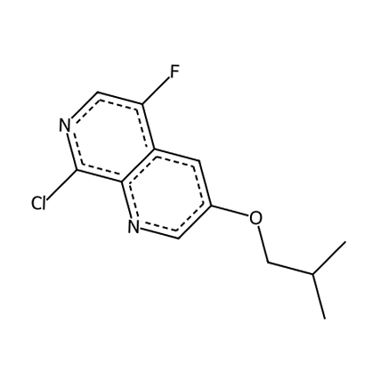 CC(C)COc1cnc2c(Cl)ncc(F)c2c1